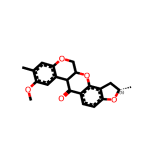 COc1cc2c(cc1C)OCC1Oc3c(ccc4c3C[C@H](C)O4)C(=O)C21